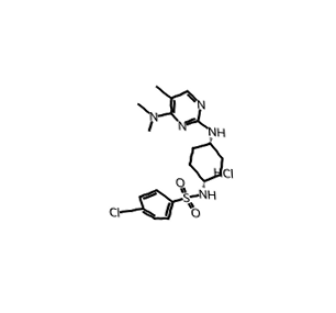 Cc1cnc(N[C@H]2CC[C@@H](NS(=O)(=O)c3ccc(Cl)cc3)CC2)nc1N(C)C.Cl